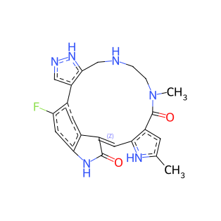 Cc1cc2c([nH]1)/C=C1\C(=O)Nc3cc(F)c(cc31)-c1cn[nH]c1CNCCN(C)C2=O